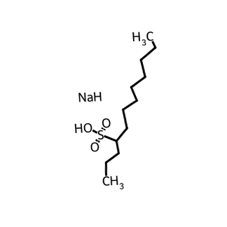 CCCCCCCCC(CCC)S(=O)(=O)O.[NaH]